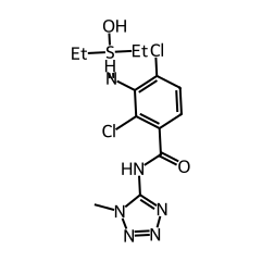 CC[SH](O)(CC)=Nc1c(Cl)ccc(C(=O)Nc2nnnn2C)c1Cl